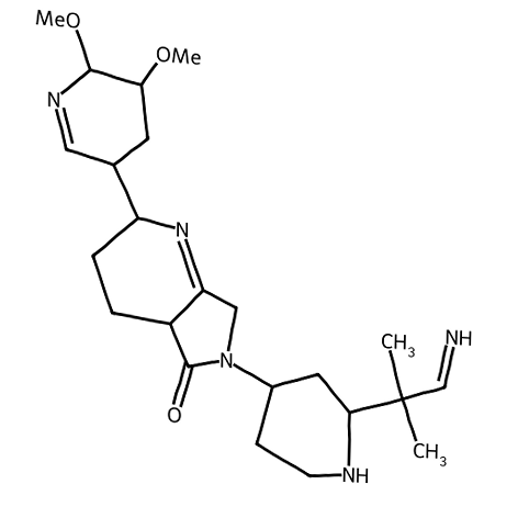 COC1CC(C2CCC3C(=O)N(C4CCNC(C(C)(C)C=N)C4)CC3=N2)C=NC1OC